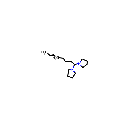 CC=C[SiH2]CCCC(N1CCCC1)N1CCCC1